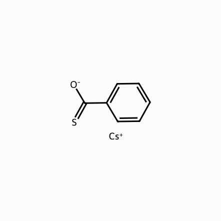 [Cs+].[O-]C(=S)c1ccccc1